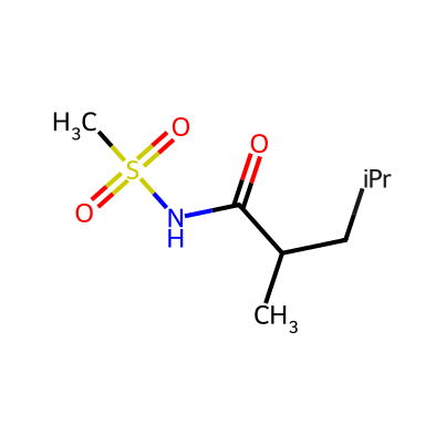 CC(C)CC(C)C(=O)NS(C)(=O)=O